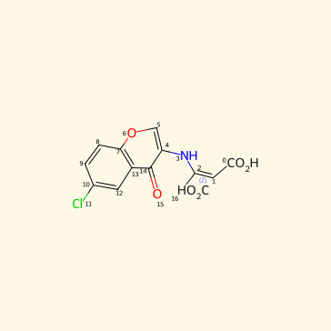 O=C(O)/C=C(\Nc1coc2ccc(Cl)cc2c1=O)C(=O)O